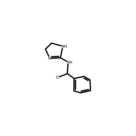 ClC(NC1=NCCN1)c1ccccc1